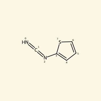 N=C=Nc1cccs1